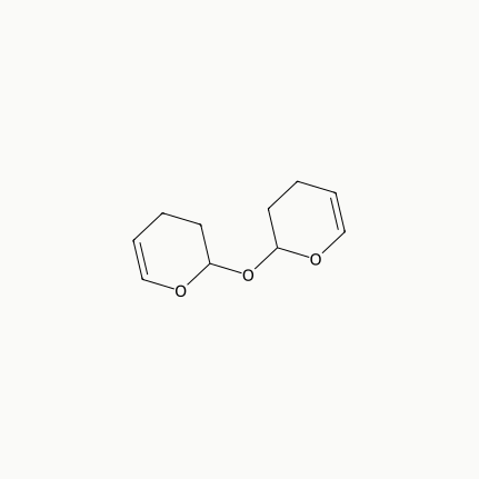 C1=COC(OC2CCC=CO2)CC1